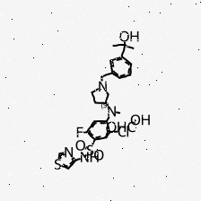 CN(c1cc(F)c(S(=O)(=O)Nc2cscn2)cc1Cl)[C@H]1CCN(Cc2cccc(C(C)(C)O)c2)C1.O=CO